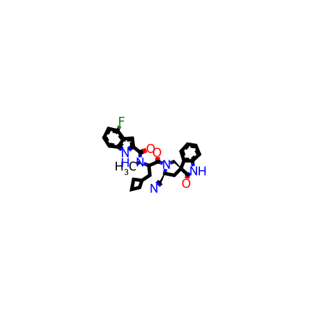 CN(C(=O)c1cc2c(F)cccc2[nH]1)C(CC1CCC1)C(=O)N1C[C@]2(C[C@H]1C#N)C(=O)Nc1ccccc12